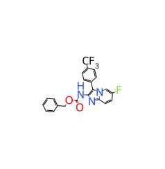 O=C(Nc1nc2ccc(F)cn2c1-c1ccc(C(F)(F)F)cc1)OCc1ccccc1